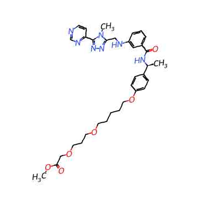 COC(=O)COCCCOCCCCCOc1ccc([C@H](C)NC(=O)c2cccc(NCc3nnc(-c4ccncn4)n3C)c2)cc1